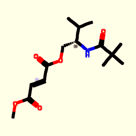 COC(=O)/C=C/C(=O)OC[C@@H](NC(=O)C(C)(C)C)C(C)C